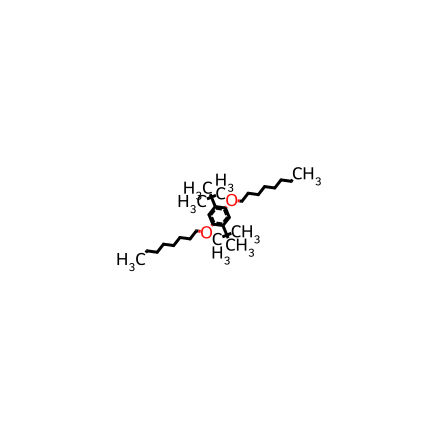 CCCCCCCCOc1cc(C(C)(C)C)c(OCCCCCCCC)cc1C(C)(C)C